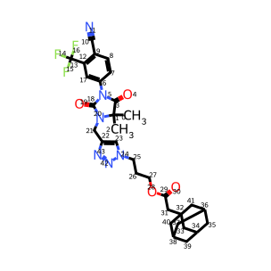 CC1(C)C(=O)N(c2ccc(C#N)c(C(F)(F)F)c2)C(=O)N1Cc1cn(CCCOC(=O)CC23CC4CC(CC(C4)C2)C3)nn1